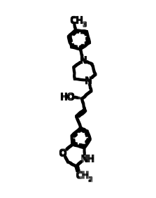 C=C1COc2cc(/C=C/[C@@H](O)CN3CCN(c4ccc(C)cc4)CC3)ccc2N1